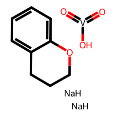 [NaH].[NaH].[O]=[V](=[O])[OH].c1ccc2c(c1)CCCO2